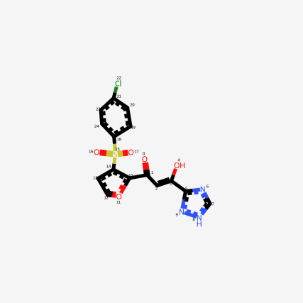 O=C(C=C(O)c1nc[nH]n1)c1occc1S(=O)(=O)c1ccc(Cl)cc1